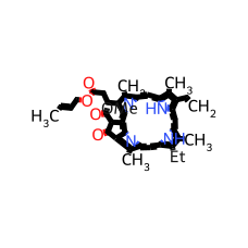 C=Cc1c(C)c2cc3nc(c4c5nc(cc6[nH]c(cc1[nH]2)c(C)c6CC)C(C)=C5C(=O)C4C(=O)OC)C(CCC(=O)OCC=CC)C3C